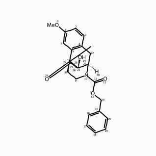 COc1ccc2c(c1)[C@]13CCN(C(=O)OCc4ccccc4)[C@H](C2)[C@]1(O)CCC(=O)C3